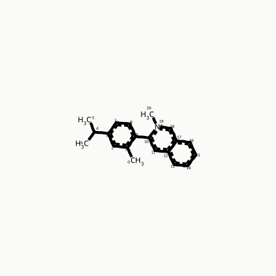 Cc1cc(C(C)C)ccc1-c1cc2ccccc2c[n+]1C